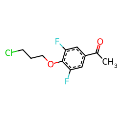 CC(=O)c1cc(F)c(OCCCCl)c(F)c1